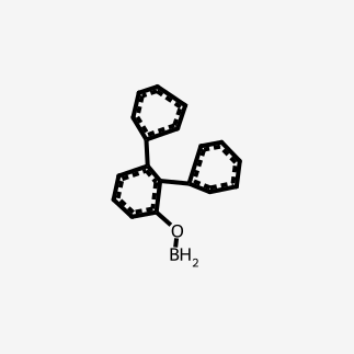 BOc1cccc(-c2ccccc2)c1-c1ccccc1